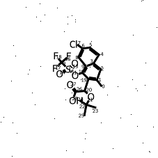 Cc1cc2ccc(Cl)cc2c(OS(=O)(=O)C(F)(F)F)c1C(OC(C)(C)C)C(=O)O